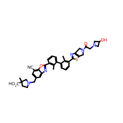 Cc1c(-c2nc3cc(CN4CCC(C)(C(=O)O)C4)cc(C#N)c3o2)cccc1-c1cccc(-c2nc3c(s2)CN(C(=O)CN2CC(O)C2)C3)c1C